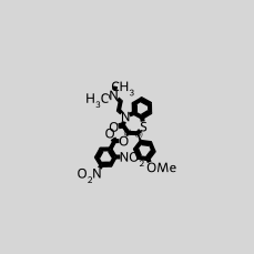 COc1ccc([C@@H]2Sc3ccccc3N(CCN(C)C)C(=O)[C@@H]2OC(=O)c2ccc([N+](=O)[O-])cc2[N+](=O)[O-])cc1